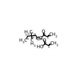 C=CC(=O)O.C=CC(=O)O.CCC(C)(C)CC